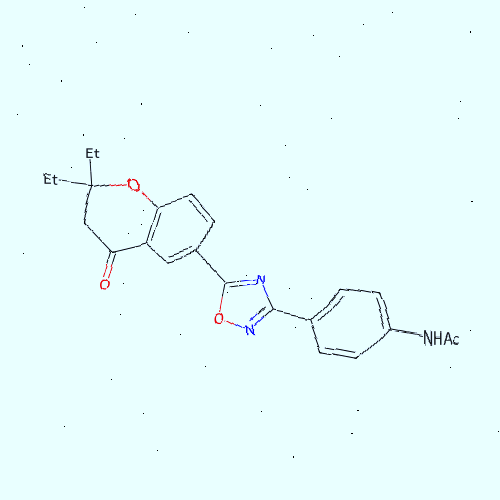 CCC1(CC)CC(=O)c2cc(-c3nc(-c4ccc(NC(C)=O)cc4)no3)ccc2O1